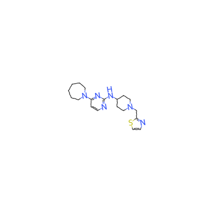 c1cc(N2CCCCCC2)nc(NC2CCN(Cc3nccs3)CC2)n1